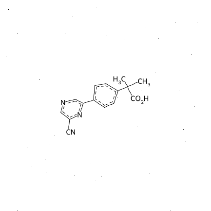 CC(C)(C(=O)O)c1ccc(-c2cncc(C#N)n2)cc1